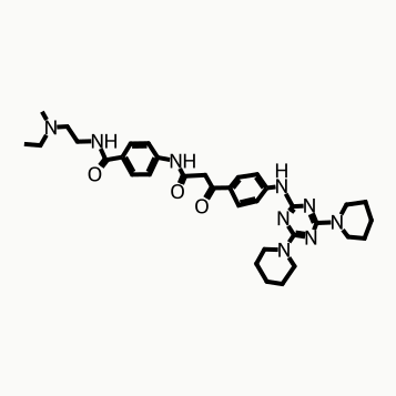 CCN(C)CCNC(=O)c1ccc(NC(=O)CC(=O)c2ccc(Nc3nc(N4CCCCC4)nc(N4CCCCC4)n3)cc2)cc1